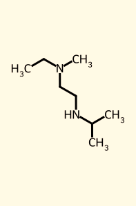 CCN(C)CCNC(C)C